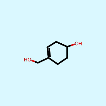 OCC1=CCC(O)CC1